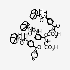 CN(CC(=O)O)C(=O)c1ccc(NC(=O)NC23CC4CC(CC(C4)C2)C3)cc1.CN(CC(=O)O)C(=O)c1cccc(NC(=O)NC23CC4CC(CC(C4)C2)C3)c1.CN1CCN(C(=O)c2ccc(NC(=O)NC34CC5CC(CC(C5)C3)C4)cc2)CC1